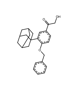 O=C(CO)c1ccc(OCc2ccccc2)c(C23CC4CC(CC(C4)C2)C3)c1